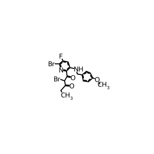 CCC(=O)C(Br)C(=O)c1nc(Br)c(F)cc1NCc1ccc(OC)cc1